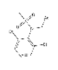 CCc1cccc(CC)c1N(CC(C)=O)S(C)(=O)=O